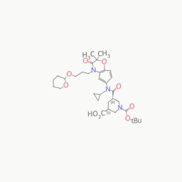 CC(C)(C)OC(=O)N1C[C@@H](C(=O)O)C[C@@H](C(=O)N(c2ccc3c(c2)N(CCCOC2CCCCO2)C(=O)C(C)(C)O3)C2CC2)C1